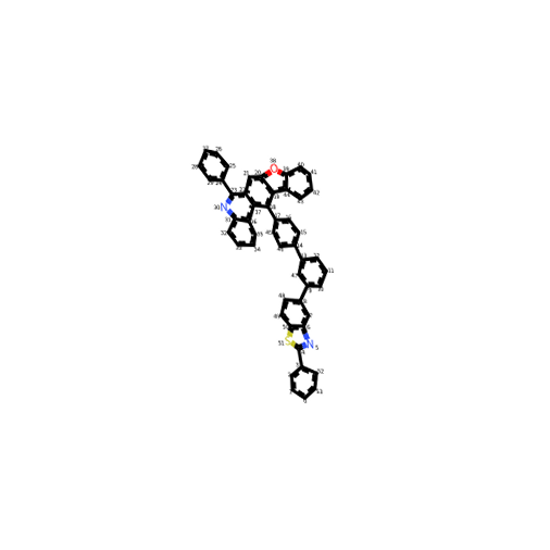 c1ccc(-c2nc3cc(-c4cccc(-c5ccc(-c6c7c(cc8c(-c9ccccc9)nc9ccccc9c68)oc6ccccc67)cc5)c4)ccc3s2)cc1